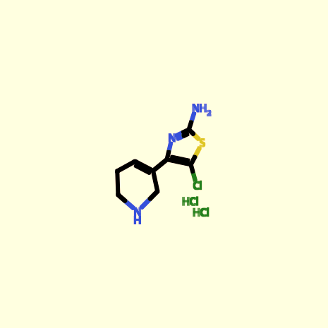 Cl.Cl.Nc1nc(C2=CCCNC2)c(Cl)s1